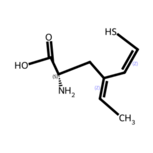 C/C=C(\C=C/S)C[C@H](N)C(=O)O